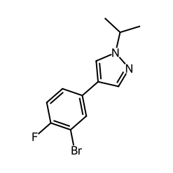 CC(C)n1cc(-c2ccc(F)c(Br)c2)cn1